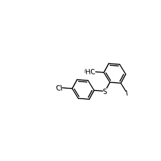 [CH]c1cccc(I)c1Sc1ccc(Cl)cc1